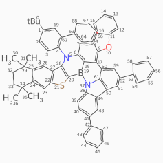 CC(C)(C)c1ccc(N2c3cc4c(oc5ccccc54)c4c3B(c3sc5cc6c(cc5c32)C(C)(C)CCC6(C)C)n2c3ccc(-c5ccccc5)cc3c3cc(-c5ccccc5)cc-4c32)c(-c2ccccc2)c1